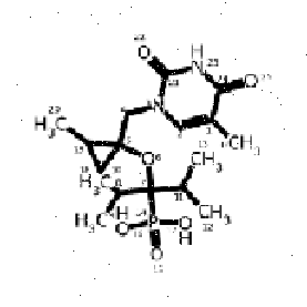 Cc1cn(CC2(OC(C(C)C)(C(C)C)P(=O)(O)O)CC2C)c(=O)[nH]c1=O